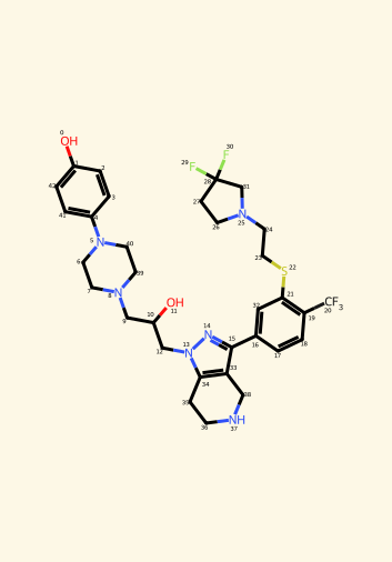 Oc1ccc(N2CCN(CC(O)Cn3nc(-c4ccc(C(F)(F)F)c(SCCN5CCC(F)(F)C5)c4)c4c3CCNC4)CC2)cc1